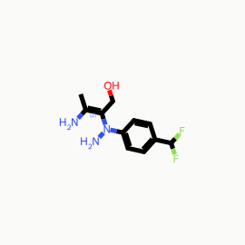 C/C(N)=C(\CO)N(N)c1ccc(C(F)F)cc1